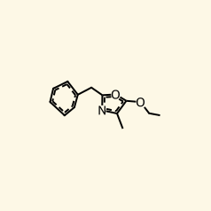 CCOc1oc(Cc2ccccc2)nc1C